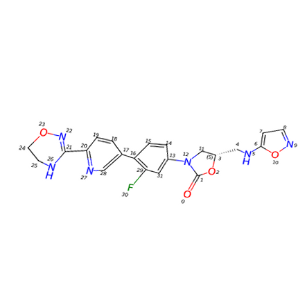 O=C1O[C@@H](CNc2ccno2)CN1c1ccc(-c2ccc(C3=NOCCN3)nc2)c(F)c1